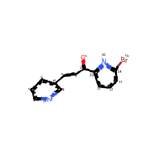 O=C(C=Cc1cccnc1)c1cccc(Br)n1